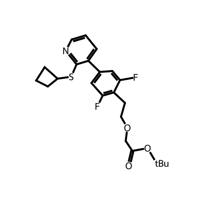 CC(C)(C)OC(=O)COCCc1c(F)cc(-c2cccnc2SC2CCC2)cc1F